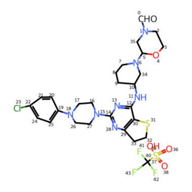 O=CN1CCOC(N2CCCC(Nc3nc(N4CCN(c5ccc(Cl)cc5)CC4)nc4c3SCC4)C2)C1.O=S(=O)(O)C(F)(F)F